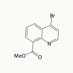 COC(=O)c1cccc2c(Br)ccnc12